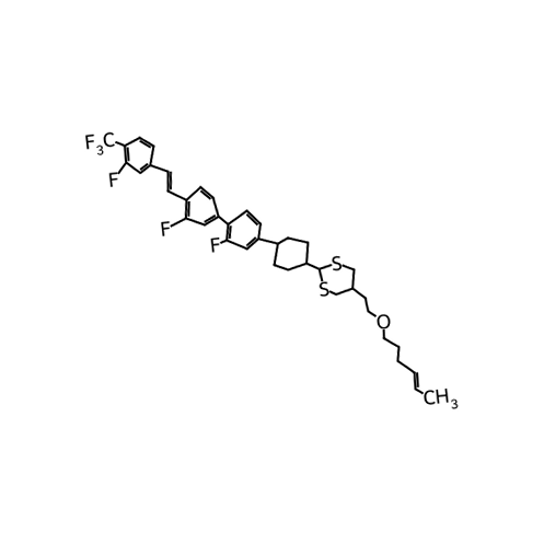 C/C=C/CCCOCCC1CSC(C2CCC(c3ccc(-c4ccc(/C=C/c5ccc(C(F)(F)F)c(F)c5)c(F)c4)c(F)c3)CC2)SC1